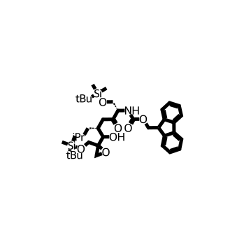 CC(C)C[C@H](CC(=O)[C@H](CO[Si](C)(C)C(C)(C)C)NC(=O)OCC1c2ccccc2-c2ccccc21)C(O)C1(CO[Si](C)(C)C(C)(C)C)CO1